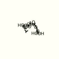 CC(C)C[C@H](CNC(=O)OC(C)OC(=O)C(C)(C)COCCON(O)O)CC(=O)O